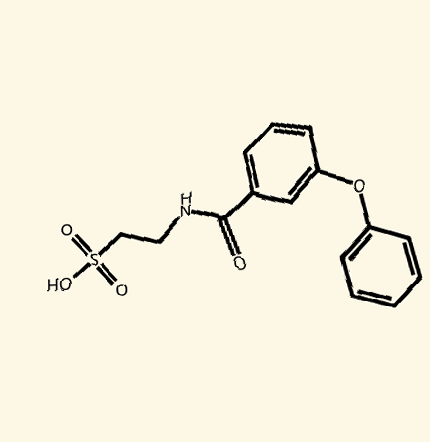 O=C(NCCS(=O)(=O)O)c1cccc(Oc2ccccc2)c1